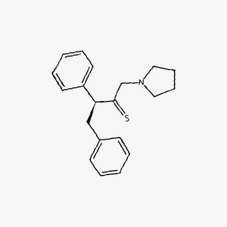 S=C(CN1CCCC1)[C@@H](Cc1ccccc1)c1ccccc1